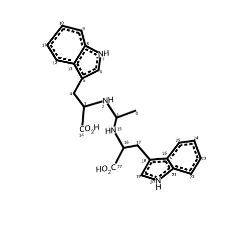 CC(NC(Cc1c[nH]c2ccccc12)C(=O)O)NC(Cc1c[nH]c2ccccc12)C(=O)O